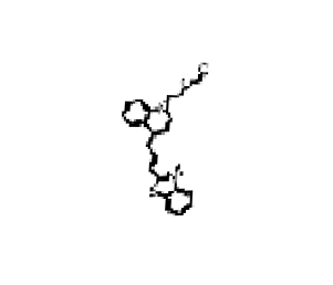 C[n+]1c(C=CC=C2C=CN(CCOC=O)c3ccccc32)sc2ccccc21